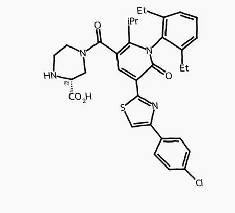 CCc1cccc(CC)c1-n1c(C(C)C)c(C(=O)N2CCN[C@@H](C(=O)O)C2)cc(-c2nc(-c3ccc(Cl)cc3)cs2)c1=O